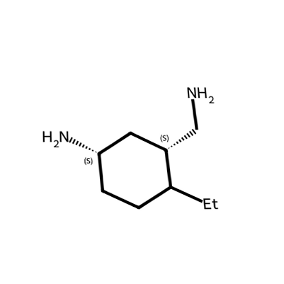 CCC1CC[C@H](N)C[C@@H]1CN